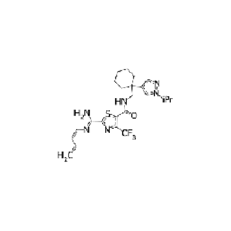 C=C/C=C\N=C(/N)c1nc(C(F)(F)F)c(C(=O)NCC2(c3cnn(C(C)C)c3)CCCCC2)s1